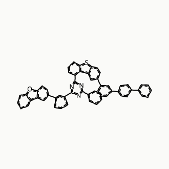 c1ccc(-c2ccc(-c3cccc(-c4ccc5sc6cccc(-c7nc(-c8ccccc8)nc(-c8cccc(-c9ccc%10oc%11ccccc%11c%10c9)c8)n7)c6c5c4)c3)cc2)cc1